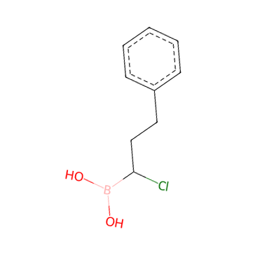 OB(O)C(Cl)CCc1ccccc1